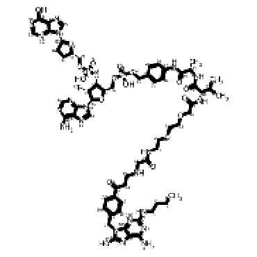 CCCCNc1nc(N)c2nc(O)n(Cc3ccc(C(=O)CCNCC(=O)NCCOCCOCC(=O)N[C@H](C(=O)N[C@@H](C)C(=O)Nc4ccc(CSP(=O)(O)OC[C@H]5O[C@@H](n6cnc7c(N)ncnc76)[C@H](F)[C@@H]5OP(=O)(O)OC[C@@H]5CC[C@H](n6cnc7c(O)ncnc76)O5)cc4)C(C)C)cc3)c2n1